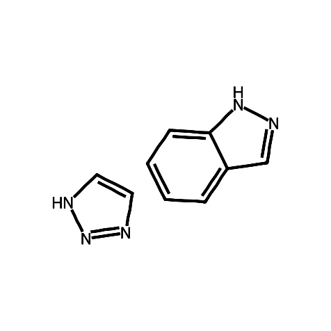 c1c[nH]nn1.c1ccc2[nH]ncc2c1